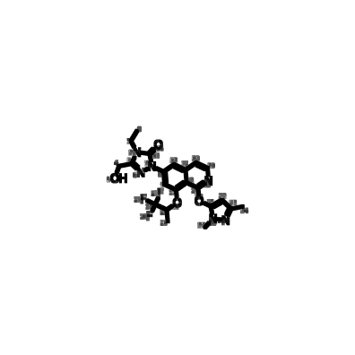 CCn1c(CO)nn(-c2cc(OC(C)C(F)(F)F)c3c(Oc4cc(C)nn4C)nccc3c2)c1=O